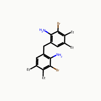 CCc1cc(Cc2cc(CC)c(CC)c(Br)c2N)c(N)c(Br)c1CC